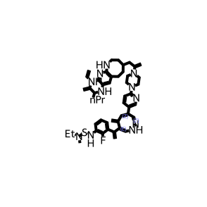 C=CNC(=C)C(CCC)Nc1cnc2c(c1)CCC(CC(=C)N1CCN(c3ccc(C4=C/C(=C)/C(C(=C)c5cccc(NSN(C)CC)c5F)=C\N/N=C\4)cn3)CC1)CCN2